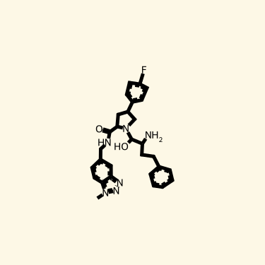 Cn1nnc2cc(CNC(=O)C3CC(c4ccc(F)cc4)CN3C(O)C(N)CCc3ccccc3)ccc21